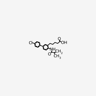 C=C(C)C(=O)Nc1ccc(-c2ccc(Cl)cc2)cc1CCCCC(=O)O